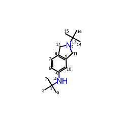 CC(C)(C)Nc1ccc2c(c1)CN(C(C)(C)C)C2